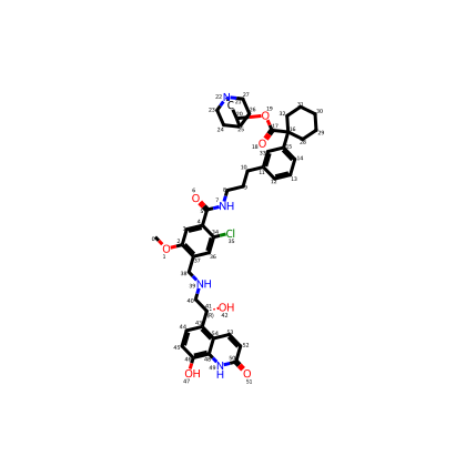 COc1cc(C(=O)NCCCc2cccc(C3(C(=O)OC4CN5CCC4CC5)CCCCC3)c2)c(Cl)cc1CNC[C@H](O)c1ccc(O)c2[nH]c(=O)ccc12